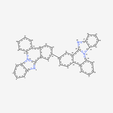 c1ccc2c(c1)nc1c3cc(-c4ccc5c6ccccc6n6c7ccccc7nc6c5c4)ccc3c3ccccc3n21